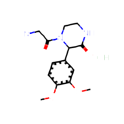 COc1ccc(C2C(=O)NCCN2C(=O)CN)cc1OC.Cl